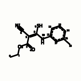 CCOC(=O)C(C#N)=C(S)Nc1cccc(C)c1